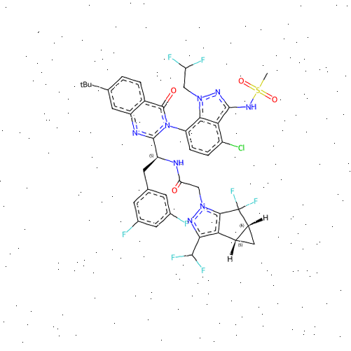 CC(C)(C)c1ccc2c(=O)n(-c3ccc(Cl)c4c(NS(C)(=O)=O)nn(CC(F)F)c34)c([C@H](Cc3cc(F)cc(F)c3)NC(=O)Cn3nc(C(F)F)c4c3C(F)(F)[C@@H]3C[C@H]43)nc2c1